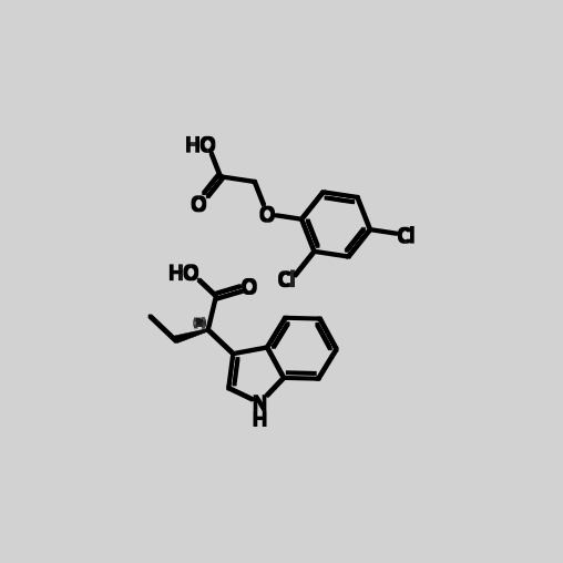 CC[C@@H](C(=O)O)c1c[nH]c2ccccc12.O=C(O)COc1ccc(Cl)cc1Cl